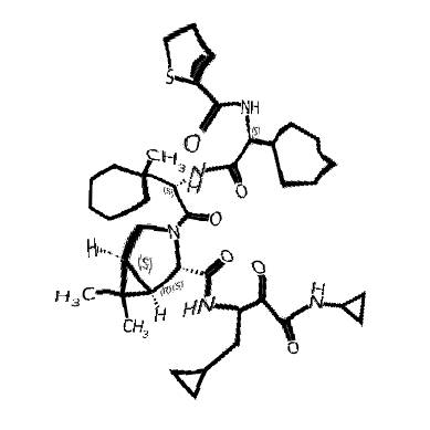 CC1([C@H](NC(=O)[C@@H](NC(=O)C2=CCCS2)C2CCCCC2)C(=O)N2C[C@H]3[C@@H]([C@H]2C(=O)NC(CC2CC2)C(=O)C(=O)NC2CC2)C3(C)C)CCCCC1